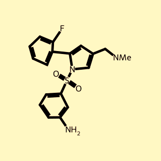 CNCc1cc(-c2ccccc2F)n(S(=O)(=O)c2cccc(N)c2)c1